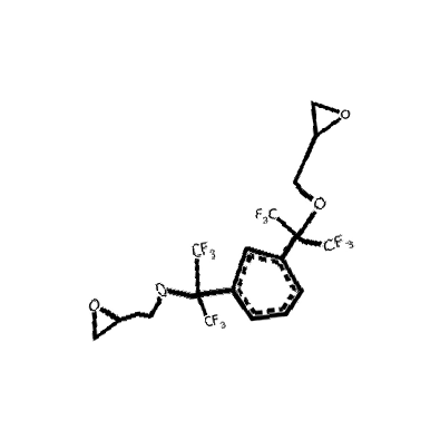 FC(F)(F)C(OCC1CO1)(c1cccc(C(OCC2CO2)(C(F)(F)F)C(F)(F)F)c1)C(F)(F)F